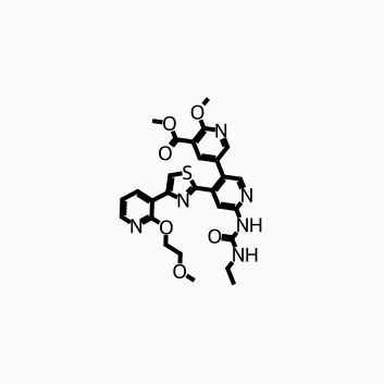 CCNC(=O)Nc1cc(-c2nc(-c3cccnc3OCCOC)cs2)c(-c2cnc(OC)c(C(=O)OC)c2)cn1